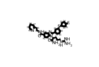 N=C(N)NCCCC(C(N)=O)n1c(-c2cccc(Sc3ccc(F)cc3)c2)nc2cc(C(=O)NCCc3ccccn3)ccc21